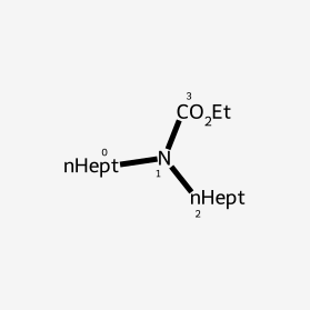 CCCCCCCN(CCCCCCC)C(=O)OCC